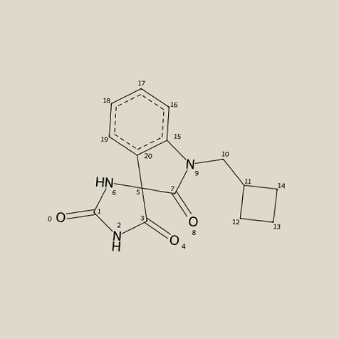 O=C1NC(=O)C2(N1)C(=O)N(CC1CCC1)c1ccccc12